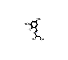 CC(C)(C)c1cc(/C=N/C(CO)C(C)(C)C)c(O)c(C(C)(C)C)c1